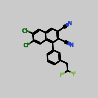 N#Cc1cc2cc(Cl)c(Cl)cc2c(-c2cccc(CC(F)F)c2)c1C#N